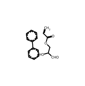 C=CC(=O)OCC(O)C=O.c1ccc(-c2ccccc2)cc1